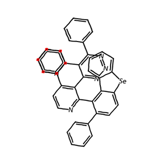 c1ccc(-c2ccnc(-c3c(-c4ccccc4)ccc4[se]c5ccccc5c34)c2-c2nnnc(-c3ccccc3)c2-c2ccccn2)cc1